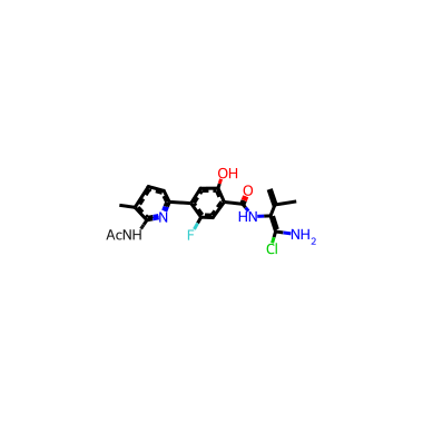 C=C(C)/C(NC(=O)c1cc(F)c(-c2ccc(C)c(NC(C)=O)n2)cc1O)=C(\N)Cl